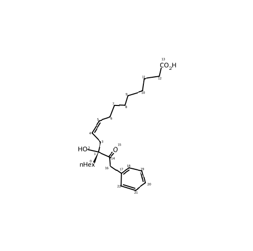 CCCCCC[C@@](O)(C/C=C\CCCCCCCC(=O)O)C(=O)Cc1ccccc1